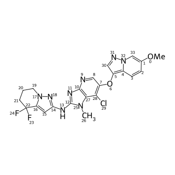 COc1ccc2c(Oc3cnc4nc(Nc5cc6n(n5)CCCC6(F)F)n(C)c4c3Cl)cnn2c1